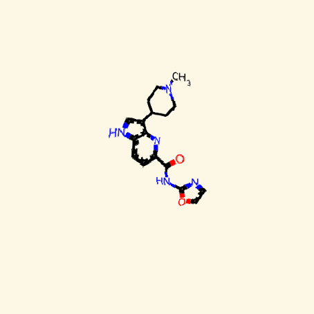 CN1CCC(c2c[nH]c3ccc(C(=O)Nc4ncco4)nc23)CC1